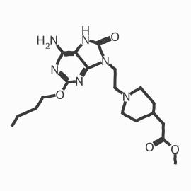 CCCCOc1nc(N)c2[nH]c(=O)n(CCN3CCC(CC(=O)OC)CC3)c2n1